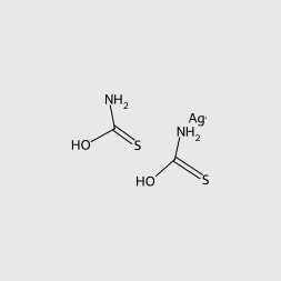 NC(O)=S.NC(O)=S.[Ag]